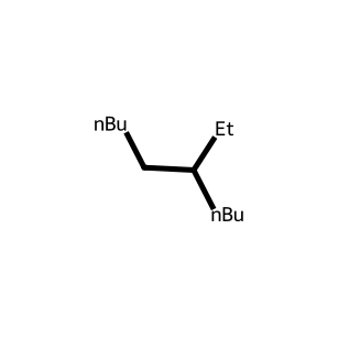 C[CH]CCC(CC)CCCCC